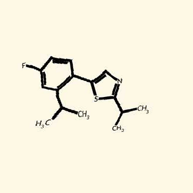 CC(C)c1ncc(-c2ccc(F)cc2C(C)C)s1